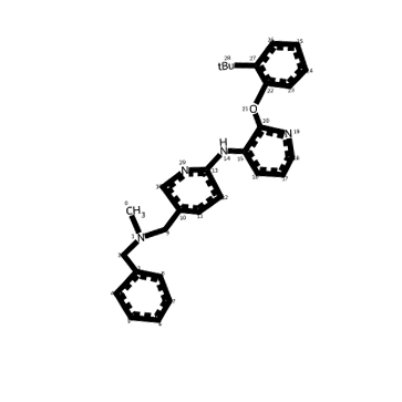 CN(Cc1ccccc1)Cc1ccc(Nc2cccnc2Oc2ccccc2C(C)(C)C)nc1